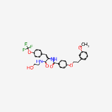 COc1cccc(CCOc2ccc(C(=O)N/C(=C/c3ccc(OC(F)(F)F)cc3)C(=O)NCCO)cc2)c1